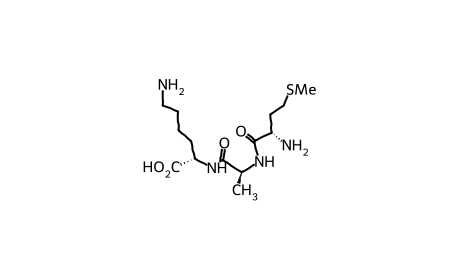 CSCC[C@H](N)C(=O)N[C@@H](C)C(=O)N[C@@H](CCCCN)C(=O)O